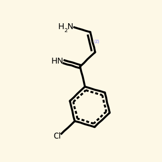 N=C(/C=C\N)c1cccc(Cl)c1